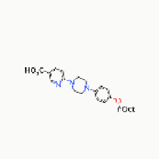 CCCCCCCCOc1ccc(N2CCN(c3ccc(C(=O)O)cn3)CC2)cc1